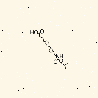 CC(C)COC(=O)NCCOCCOCCCC(=O)O